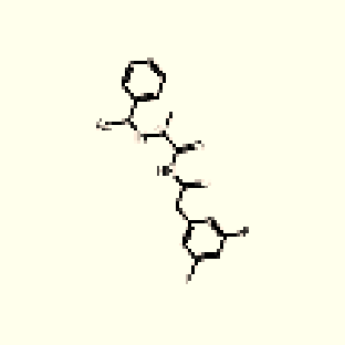 CC(=O)C(N[C@@H](C)C(=O)NC(=O)Cc1cc(F)cc(F)c1)c1ccccc1